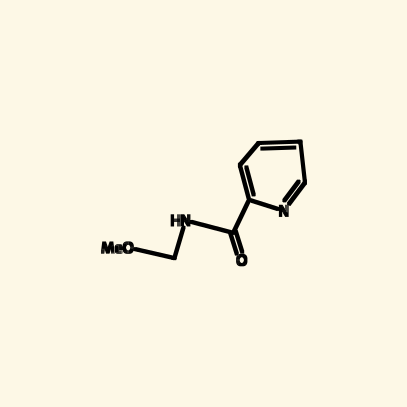 COCNC(=O)c1ccccn1